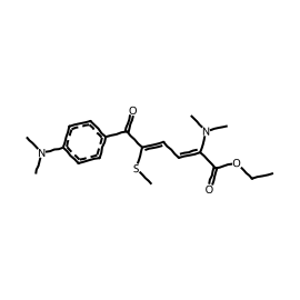 CCOC(=O)C(=CC=C(SC)C(=O)c1ccc(N(C)C)cc1)N(C)C